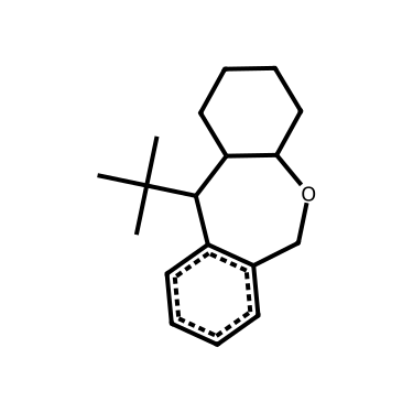 CC(C)(C)C1c2ccccc2COC2CCCCC21